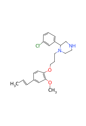 CC=Cc1ccc(OCCCN2CCNCC2c2cccc(Cl)c2)c(OC)c1